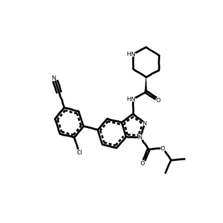 CC(C)OC(=O)n1nc(NC(=O)[C@@H]2CCCNC2)c2cc(-c3cc(C#N)ccc3Cl)ccc21